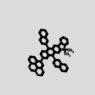 C[Si]1(C)c2ccccc2-c2cc3c(-c4ccc5ccccc5c4)c4ccc(-c5cc6c7c8c(cccc58)CC=C7CC=C6)cc4c(-c4ccc5ccccc5c4)c3cc21